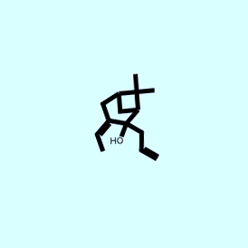 C=CCC1(O)/C(=C\C)CC2CC1C2(C)C